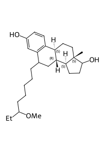 CCC(CCCCCC1C[C@@H]2[C@H](CC[C@]3(C)C(O)CC[C@@H]23)c2ccc(O)cc21)OC